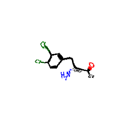 CCC(=O)[C@H](N)Cc1ccc(Cl)c(Cl)c1